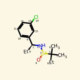 CC[C@H](N[S+]([O-])C(C)(C)CC)c1cccc(Cl)c1